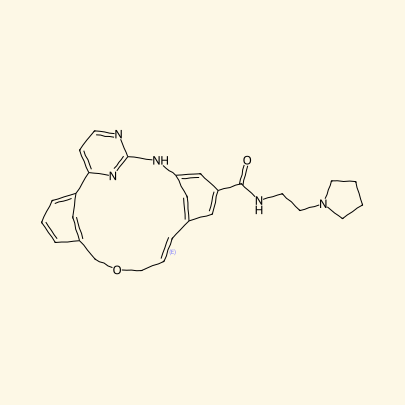 O=C(NCCN1CCCC1)c1cc2cc(c1)Nc1nccc(n1)-c1cccc(c1)COC/C=C/2